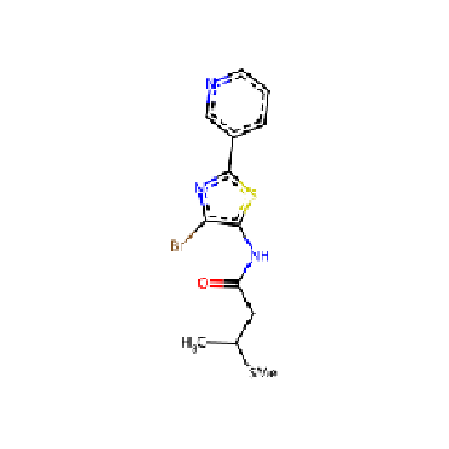 CSC(C)CC(=O)Nc1sc(-c2cccnc2)nc1Br